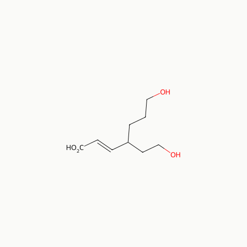 O=C(O)C=CC(CCO)CCCO